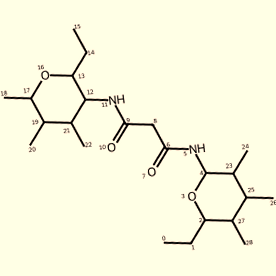 CCC1OC(NC(=O)CC(=O)NC2C(CC)OC(C)C(C)C2C)C(C)C(C)C1C